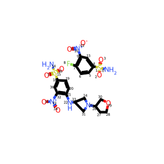 NS(=O)(=O)c1ccc(F)c([N+](=O)[O-])c1.NS(=O)(=O)c1ccc(NC2CN(C3CCOC3)C2)c([N+](=O)[O-])c1